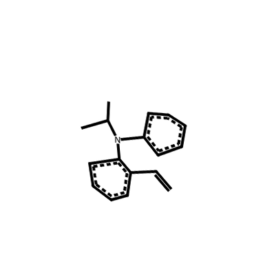 C=Cc1ccccc1N(c1ccccc1)C(C)C